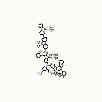 CCCCCCCC1(CCCCCCC)c2ccccc2-c2ccc(-c3ccc4c(c3)C(C)(C)c3cc(-c5cc6c(c7c5oc5ccccc57)-c5ccc(N(c7ccc8c(c7)C(C)(C)c7c9c(c%10oc%11ccccc%11c%10c7-8)-c7ccccc7C9(C)C)c7ccc(C)cc7C)cc5C6(CCCCCCC)CCCCCCC)ccc3-4)cc21